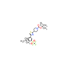 CC(C)(C)OC(=O)N1CCC(c2nc(-c3cc(C(C)(C)C)cc(S(=O)(=O)C(F)(F)F)c3)cs2)CC1